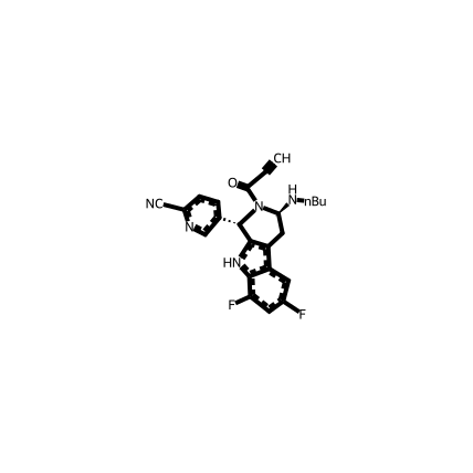 C#CC(=O)N1[C@@H](c2ccc(C#N)nc2)c2[nH]c3c(F)cc(F)cc3c2C[C@@H]1NCCCC